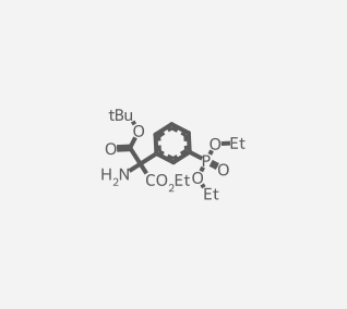 CCOC(=O)C(N)(C(=O)OC(C)(C)C)c1cccc(P(=O)(OCC)OCC)c1